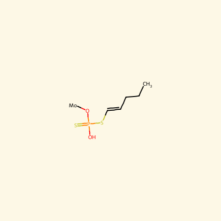 CCCC=CSP(O)(=S)[O][Mo]